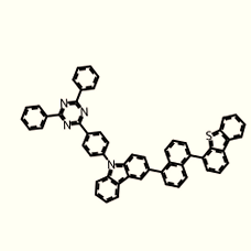 c1ccc(-c2nc(-c3ccccc3)nc(-c3ccc(-n4c5ccccc5c5cc(-c6cccc7c(-c8cccc9c8sc8ccccc89)cccc67)ccc54)cc3)n2)cc1